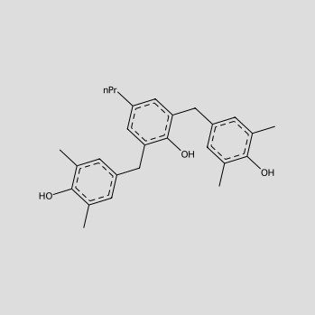 CCCc1cc(Cc2cc(C)c(O)c(C)c2)c(O)c(Cc2cc(C)c(O)c(C)c2)c1